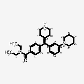 CCN(CC)C(=O)c1ccc(C(=C2CCNCC2)c2cccc(N3CCCCC3)c2)cc1